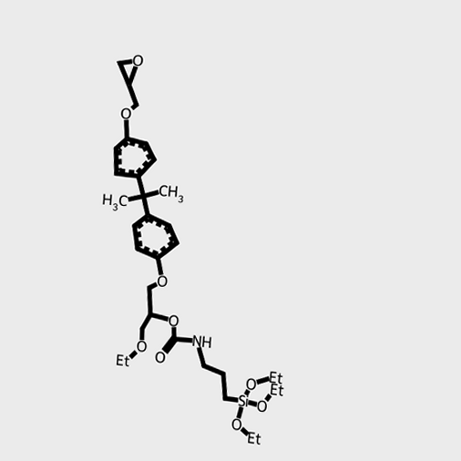 CCOCC(COc1ccc(C(C)(C)c2ccc(OCC3CO3)cc2)cc1)OC(=O)NCCC[Si](OCC)(OCC)OCC